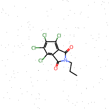 CCCN1C(=O)c2c(Cl)c(Cl)c(Cl)c(Cl)c2C1=O